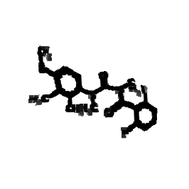 Cc1c(SC(F)(F)F)ccc(N(C)C(=O)N(C)C(=O)c2c(F)cccc2F)c1C